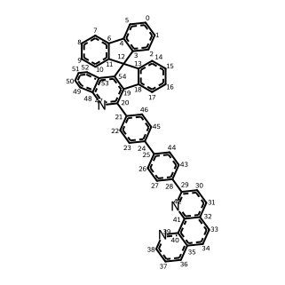 c1ccc2c(c1)-c1ccccc1C21c2ccccc2-c2c(-c3ccc(-c4ccc(-c5ccc6ccc7cccnc7c6n5)cc4)cc3)nc3ccccc3c21